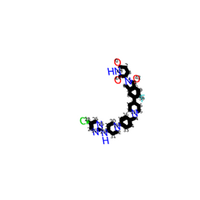 O=C1CCC(N2Cc3cc(C4CCN(Cc5ccc(N6CCC(Nc7ncc(Cl)cn7)CC6)cc5)CC4)c(F)cc3C2=O)C(=O)N1